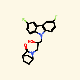 O=C1C2CCC(C2)N1CC(O)Cn1c2ccc(F)cc2c2cc(F)ccc21